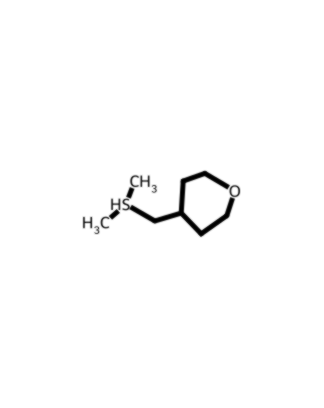 C[SH](C)CC1CCOCC1